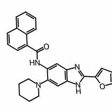 O=C(Nc1cc2nc(-c3ccco3)[nH]c2cc1N1CCCCC1)c1cccc2ccccc12